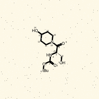 CC(C)(C)OC(=O)N[C@@H](CO)C(=O)N1CCC(O)CC1